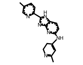 CC1=NCCC(Nc2ccc3[nH]c(-c4ccc(C)cn4)nc3n2)=C1